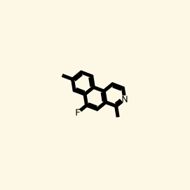 Cc1ccc2c(c1)c(F)cc1c(C)nccc12